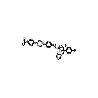 O=[N+]([O-])c1ccc(N2CCN(c3ccc(OC[C@H]4OC[C@](Cn5cncn5)(c5ccc(F)cc5F)O4)cc3)CC2)cc1